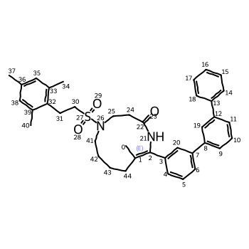 C/C1=C(/c2cccc(-c3cccc(-c4ccccc4)c3)c2)NC(=O)CCN(S(=O)(=O)CCc2c(C)cc(C)cc2C)CCCC1